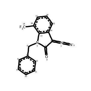 [N-]=[N+]=C1C(=O)N(Cc2ccccc2)c2c1cccc2C(F)(F)F